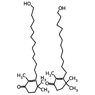 CC1=C(CCCCCCCCCCCCCO)C(C)(C)CCC1=O.CC1=C(CCCCCCCCCCCCO)C(C)(C)CCC1=O